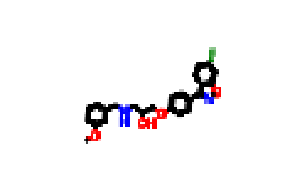 COc1cccc(CNCC(O)COc2ccc(-c3noc4cc(F)ccc34)cc2)c1